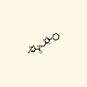 Cn1cc(C(=O)NCc2nnc(N3CCCCC3)s2)nn1